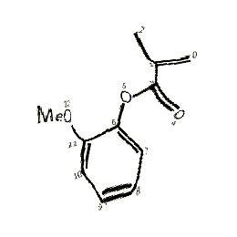 C=C(C)C(=O)Oc1cc[c]cc1OC